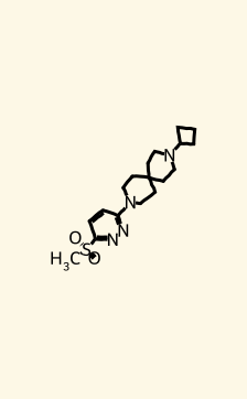 CS(=O)(=O)c1ccc(N2CCC3(CC2)CCN(C2CCC2)CC3)nn1